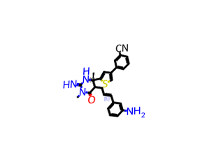 CN1C(=N)N[C@](C)(c2cc(-c3cccc(C#N)c3)cs2)C(C/C=C/c2cccc(N)c2)C1=O